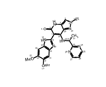 CCn1cc2[nH]c(=O)c(-c3nc4cc(OC)c(OC)cc4[nH]3)c(N[C@@H](C)c3ncccn3)c2n1